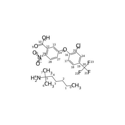 CCCCCC(C)(C)N.O=C(O)c1cc(Oc2ccc(C(F)(F)F)cc2Cl)ccc1[N+](=O)[O-]